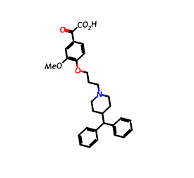 COc1cc(C(=O)C(=O)O)ccc1OCCCN1CCC(C(c2ccccc2)c2ccccc2)CC1